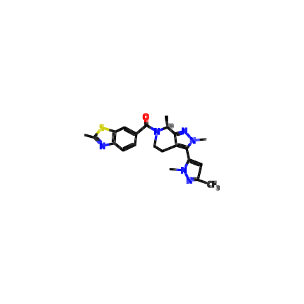 Cc1nc2ccc(C(=O)N3CCc4c(nn(C)c4-c4cc(C(F)(F)F)nn4C)[C@@H]3C)cc2s1